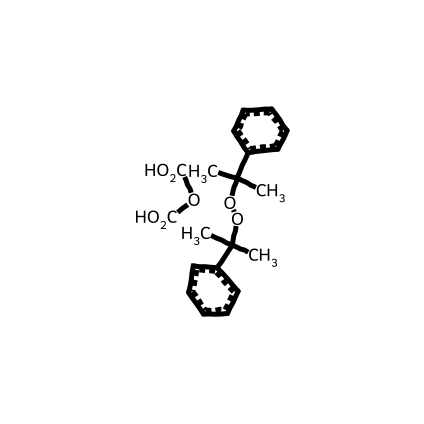 CC(C)(OOC(C)(C)c1ccccc1)c1ccccc1.O=C(O)OC(=O)O